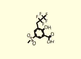 CS(=O)(=O)c1cc(CC(F)(F)C(F)(F)F)c(O)c(C(=O)O)c1